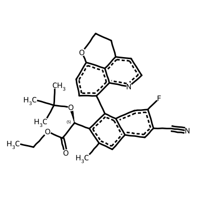 CCOC(=O)[C@@H](OC(C)(C)C)c1c(C)cc2cc(C#N)c(F)cc2c1-c1ccc2c3c(ccnc13)CCO2